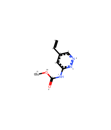 C=Cc1cnnc(NC(=O)OC(C)(C)C)c1